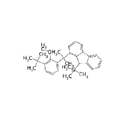 COc1c(C(C)(C)C)cccc1C(C)(C)c1cccc2c1C([Si](C)(C)C)c1ccccc1-2